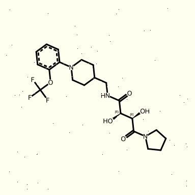 O=C(NCC1CCN(c2ccccc2OC(F)(F)F)CC1)[C@H](O)[C@@H](O)C(=O)N1CCCC1